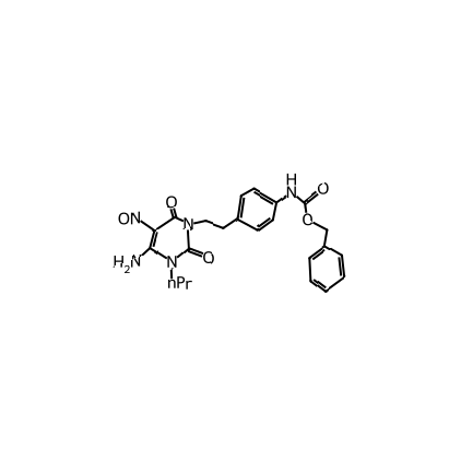 CCCn1c(N)c(N=O)c(=O)n(CCc2ccc(NC(=O)OCc3ccccc3)cc2)c1=O